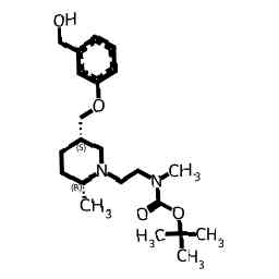 C[C@@H]1CC[C@H](COc2cccc(CO)c2)CN1CCN(C)C(=O)OC(C)(C)C